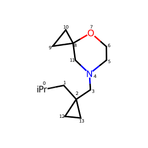 CC(C)CC1(CN2CCOC3(CC3)C2)CC1